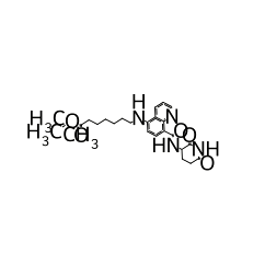 CC(C)(C)OC(=O)CCCCCCNc1ccc(C(=O)NC2CCC(=O)NC2=O)c2ncccc12